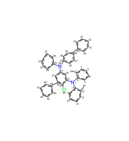 Cc1ccccc1N(c1ccccc1C)c1cc(N(c2ccccc2)c2ccc(-c3ccccc3)cc2)cc(-c2ccccc2)c1Cl